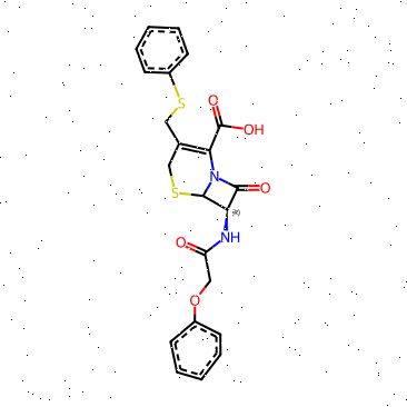 O=C(COc1ccccc1)N[C@@H]1C(=O)N2C(C(=O)O)=C(CSc3ccccc3)CSC12